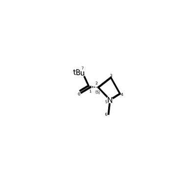 C=C([C@@H]1CCN1C)C(C)(C)C